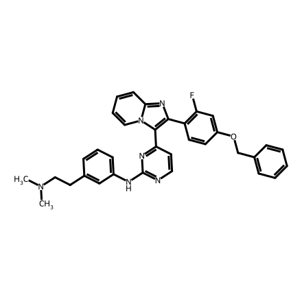 CN(C)CCc1cccc(Nc2nccc(-c3c(-c4ccc(OCc5ccccc5)cc4F)nc4ccccn34)n2)c1